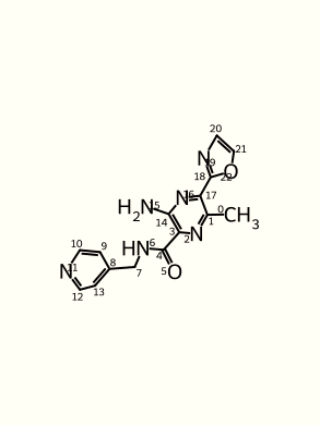 Cc1nc(C(=O)NCc2ccncc2)c(N)nc1-c1ncco1